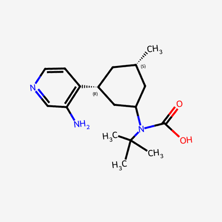 C[C@@H]1CC(N(C(=O)O)C(C)(C)C)C[C@H](c2ccncc2N)C1